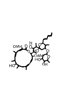 CC=CC=CC1OC(O)(C(C)C(O)C(C)C2OC(=O)C(OC)=CC(C)=CC(C)C(O)C(C)CC(C)=CC=CC2OC)CC(OC2CC(O)C(O)C(C)O2)C1C